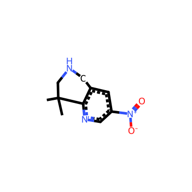 CC1(C)CNCc2cc([N+](=O)[O-])cnc21